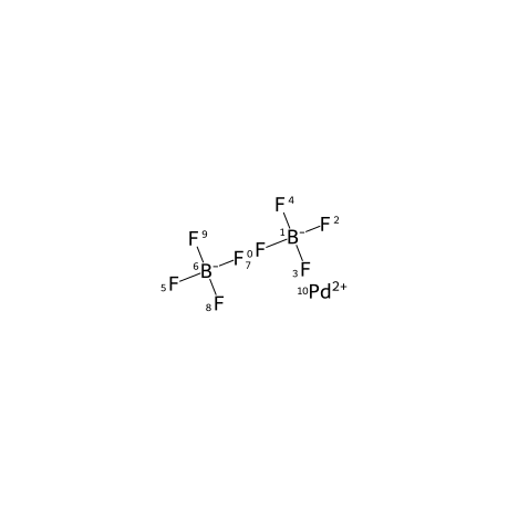 F[B-](F)(F)F.F[B-](F)(F)F.[Pd+2]